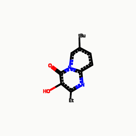 CCc1nc2ccc(C(C)(C)C)cn2c(=O)c1O